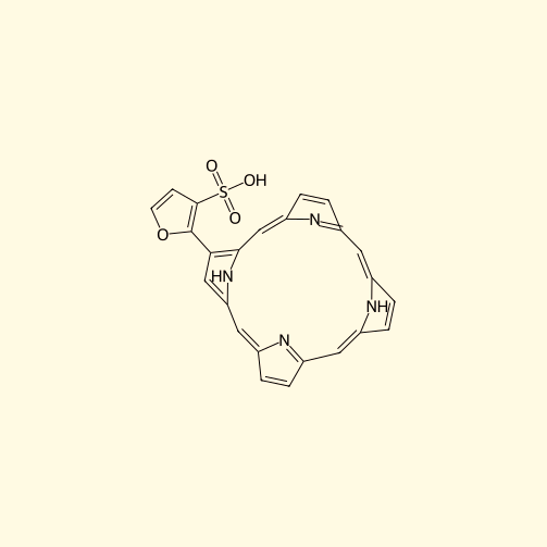 O=S(=O)(O)c1ccoc1-c1cc2cc3nc(cc4ccc(cc5nc(cc1[nH]2)C=C5)[nH]4)C=C3